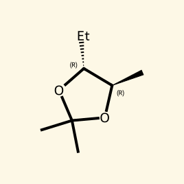 CC[C@H]1OC(C)(C)O[C@@H]1C